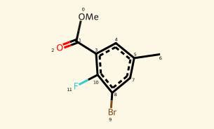 COC(=O)c1cc(C)cc(Br)c1F